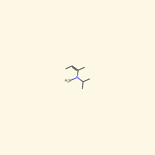 CC=C(C)N([SiH3])C(C)C